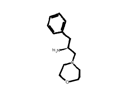 N[C@@H](Cc1ccccc1)CN1CCOCC1